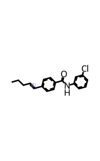 CCC/C=C/c1ccc(C(=O)Nc2cccc(Cl)c2)cc1